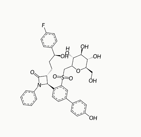 O=C1[C@H](CC[C@H](O)c2ccc(F)cc2)[C@@H](c2ccc(-c3ccc(O)cc3)cc2S(=O)(=O)CC2O[C@H](CO)[C@@H](O)[C@H](O)[C@H]2O)N1c1ccccc1